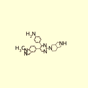 Cn1ncc2cc(-c3cnc(N4CCC5CNCC5C4)nc3-c3ccc(N)cc3)ccc21